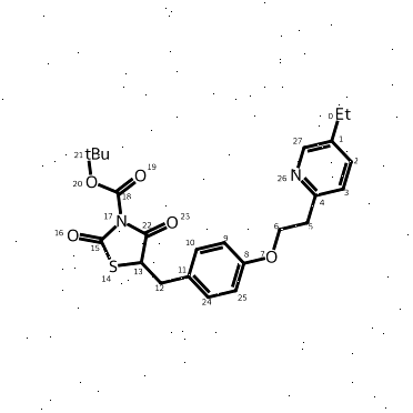 CCc1ccc(CCOc2ccc(CC3SC(=O)N(C(=O)OC(C)(C)C)C3=O)cc2)nc1